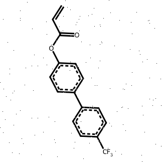 C=CC(=O)Oc1ccc(-c2ccc(C(F)(F)F)cc2)cc1